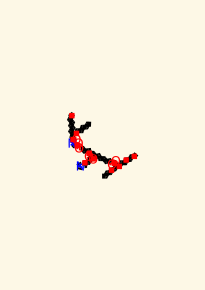 CCCCCCCCC(CCCCCC)C(=O)OCCCCCC(CCCCCOC(=O)CN(C)C(=O)CC(CCCCCCC)CCCCCCC)OC(=O)CCCN(C)C